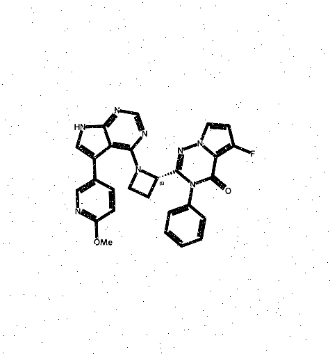 COc1ccc(-c2c[nH]c3ncnc(N4CC[C@H]4c4nn5ccc(F)c5c(=O)n4-c4ccccc4)c23)cn1